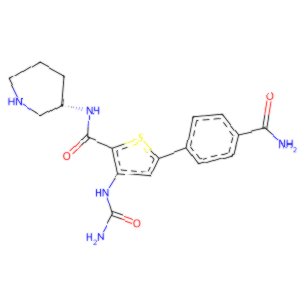 NC(=O)Nc1cc(-c2ccc(C(N)=O)cc2)sc1C(=O)N[C@H]1CCCNC1